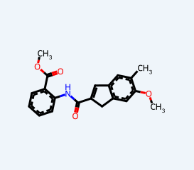 COC(=O)c1ccccc1NC(=O)C1=Cc2cc(C)c(OC)cc2C1